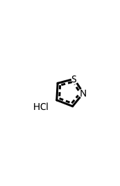 Cl.c1cnsc1